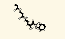 C=CC(=O)OCCC(=O)N/C=C/C=C(/O)C(=C)n1nc2ccccc2n1